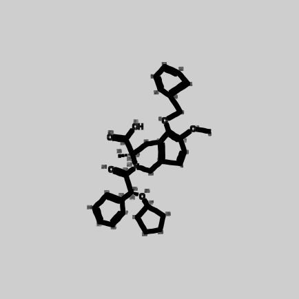 COc1ccc2c(c1OCc1ccccc1)C[C@](C)(C(=O)O)N(C(=O)[C@H](OC1CCCC1)c1ccccc1)C2